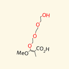 COC(OCCOCCOCCO)=C(C)C(=O)O